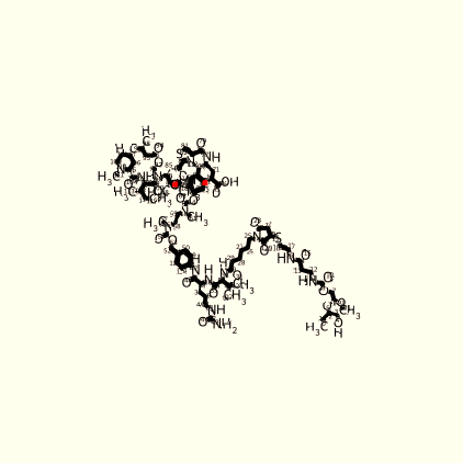 CCC(CO)OC(COC(=O)NCCC(=O)NCCSC1CC(=O)N(CCCCCC(=O)N[C@H](C(=O)N[C@@H](CCCNC(N)=O)C(=O)Nc2ccc(COC(=O)N(C)CCN(C)C(=O)Oc3ccc(C[C@@H](C[C@H](C)C(=O)O)NC(=O)c4csc([C@@H](C[C@H](C(C)C)N(COC(=O)CC(C)C)C(=O)[C@@H](NC(=O)[C@H]5CCCCN5C)[C@@H](C)CC)OC(C)=O)n4)cc3)cc2)C(C)C)C1=O)OC